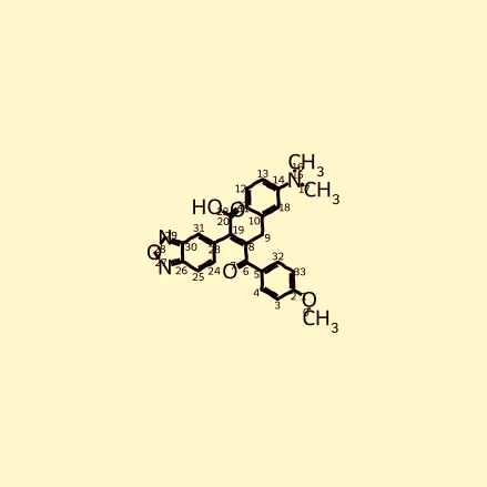 COc1ccc(C(=O)/C(Cc2cccc(N(C)C)c2)=C(/C(=O)O)c2ccc3nonc3c2)cc1